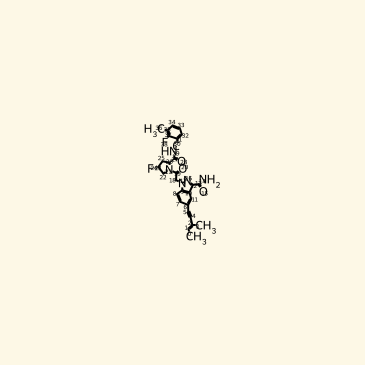 C/C=C(\C)C#Cc1ccc2c(c1)c(C(N)=O)nn2CC(=O)N1C[C@H](F)C[C@H]1C(=O)NCc1cccc(C)c1F